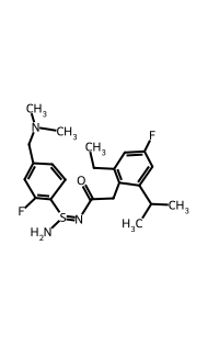 CCc1cc(F)cc(C(C)C)c1CC(=O)/N=S(/N)c1ccc(CN(C)C)cc1F